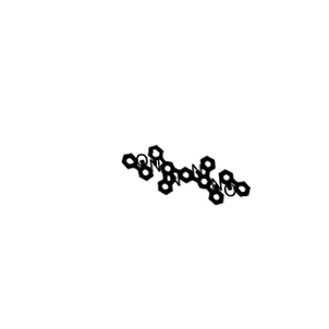 C1=CC2c3cc4c5cc6c(cc5n5c7ccccc7c(c3N(c3cccc7c3oc3ccccc37)C2C=C1)c45)c1cc2c3ccccc3n(-c3cccc4c3oc3ccccc34)c2c2c3ccccc3n6c12